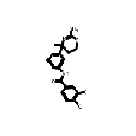 CC1(c2cccc(NC(=O)c3ccc(Cl)c(Cl)c3)c2)CCSC(N)=N1